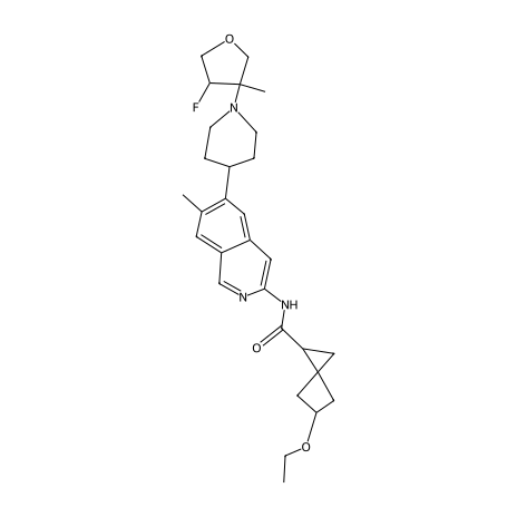 CCOC1CC2(C1)CC2C(=O)Nc1cc2cc(C3CCN(C4(C)COCC4F)CC3)c(C)cc2cn1